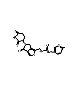 Cc1ccc(NC(=O)NCc2scc3c2CN(C2CCC(=O)NC2=O)C3=O)cn1